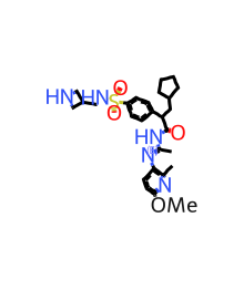 COc1ccc(/N=C(\C)NC(=O)C(CC2CCCC2)c2ccc(S(=O)(=O)NCC3CNC3)cc2)c(C)n1